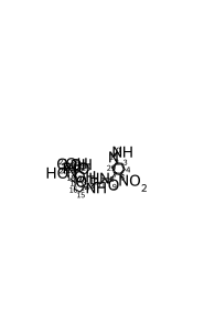 N=Nc1ccc([N+](=O)[O-])c(C(=O)NCCNC2CCC(CN(P(=O)(O)O)P(=O)(O)O)O2)c1